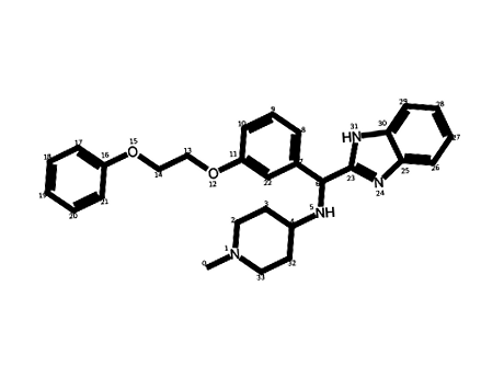 CN1CCC(NC(c2cccc(OCCOc3ccccc3)c2)c2nc3ccccc3[nH]2)CC1